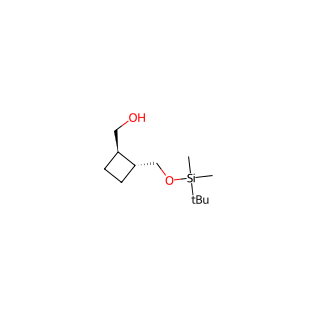 CC(C)(C)[Si](C)(C)OC[C@@H]1CC[C@H]1CO